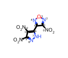 O=[N+]([O-])c1nonc1-c1[nH]nc([N+](=O)[O-])c1[N+](=O)[O-]